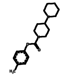 Cc1ccc(OC(=O)N2CCC(N3CCCCC3)CC2)cc1